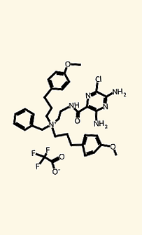 COc1ccc(CCC[N+](CCCc2ccc(OC)cc2)(CCNC(=O)c2nc(Cl)c(N)nc2N)Cc2ccccc2)cc1.O=C([O-])C(F)(F)F